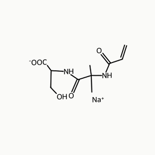 C=CC(=O)NC(C)(C)C(=O)NC(CO)C(=O)[O-].[Na+]